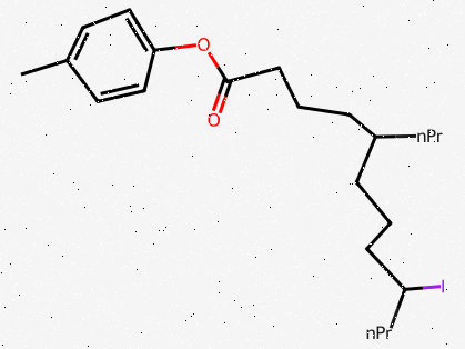 CCCC(I)CCCC(CCC)CCCC(=O)Oc1ccc(C)cc1